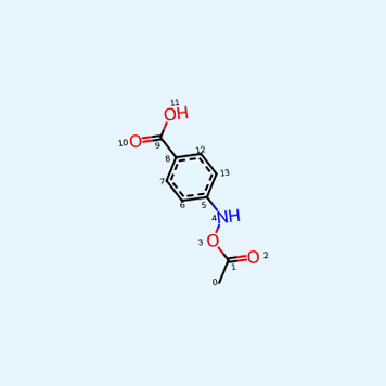 CC(=O)ONc1ccc(C(=O)O)cc1